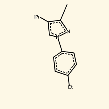 CCc1ccc(-n2cc(C(C)C)c(C)n2)cc1